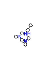 c1ccc(-c2ccc(Nc3cccc(N(c4ccccc4)c4ccc5c6ccccc6n(-c6ccccc6)c5c4)c3)cc2)cc1